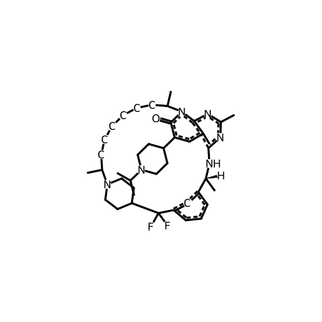 Cc1nc2c3cc(C4CCN(C(C)C)CC4)c(=O)n(c3n1)C(C)CCCCCCC(C)N1CCC(CC1)C(F)(F)c1cccc(c1)[C@@H](C)N2